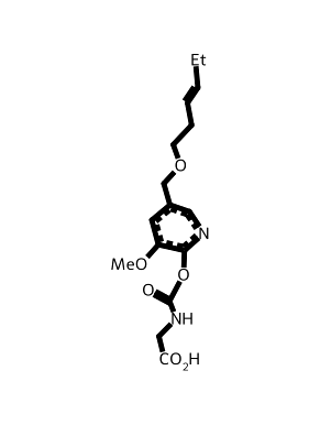 CCC=CCCOCc1cnc(OC(=O)NCC(=O)O)c(OC)c1